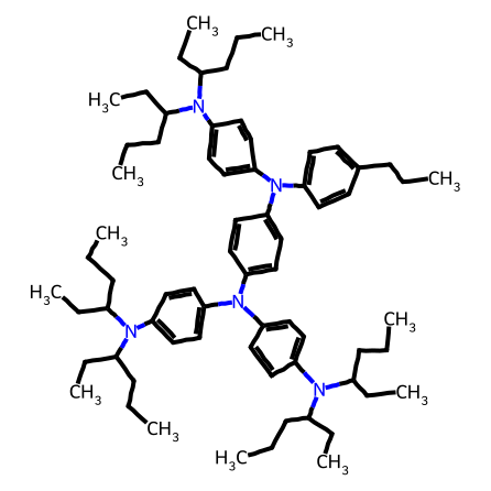 CCCc1ccc(N(c2ccc(N(c3ccc(N(C(CC)CCC)C(CC)CCC)cc3)c3ccc(N(C(CC)CCC)C(CC)CCC)cc3)cc2)c2ccc(N(C(CC)CCC)C(CC)CCC)cc2)cc1